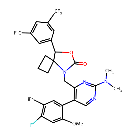 COc1cc(F)c(C(C)C)cc1-c1cnc(N(C)C)nc1CN1C(=O)OC(c2cc(C(F)(F)F)cc(C(F)(F)F)c2)C12CCC2